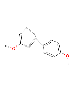 COC1=CC[CH]C(c2ccc(OC)cc2)=C1